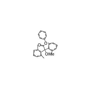 COC(C(=O)Oc1ccccc1)(c1c(C)cccc1C)c1c(C)cccc1C